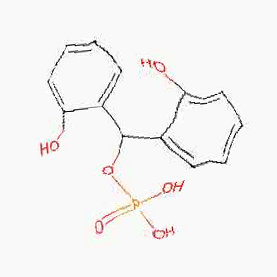 O=P(O)(O)OC(c1ccccc1O)c1ccccc1O